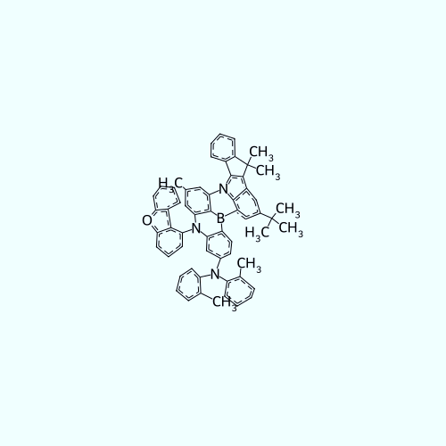 Cc1cc2c3c(c1)-n1c4c(c5cc(C(C)(C)C)cc(c51)B3c1ccc(N(c3ccccc3C)c3ccccc3C)cc1N2c1cccc2oc3ccccc3c12)C(C)(C)c1ccccc1-4